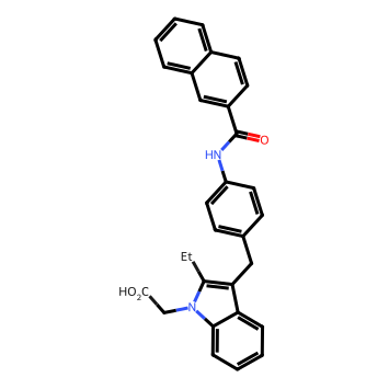 CCc1c(Cc2ccc(NC(=O)c3ccc4ccccc4c3)cc2)c2ccccc2n1CC(=O)O